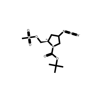 CC(C)(C)OC(=O)N1CC(N=[N+]=[N-])C[C@@H]1COS(C)(=O)=O